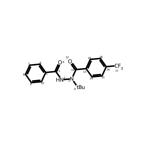 CC(C)(C)N(NC(=O)c1ccccc1)C(=O)c1ccc(C(F)(F)F)cc1